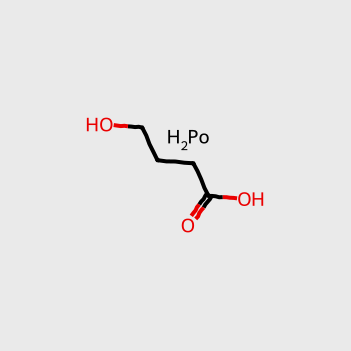 O=C(O)CCCO.[PoH2]